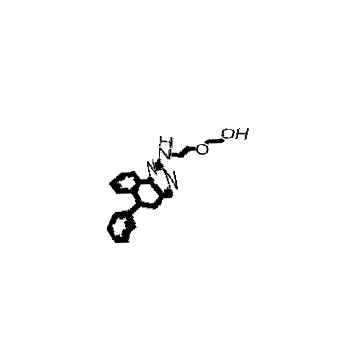 OCCOCCNc1ncc2c(n1)-c1ccccc1C(c1ccccc1)C2